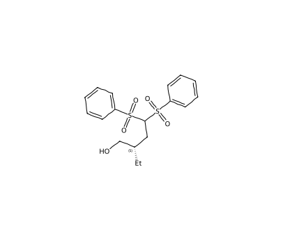 CC[C@H](CO)CC(S(=O)(=O)c1ccccc1)S(=O)(=O)c1ccccc1